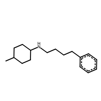 CC1CCC(NCCCCc2ccccc2)CC1